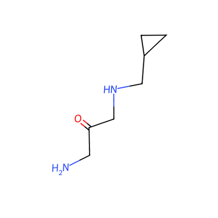 NCC(=O)CNCC1CC1